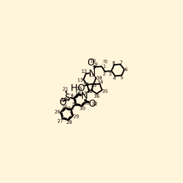 C[C@H](CC1CCCCC1)C(=O)N1CCC(O)(Cn2cc([S+](C)[O-])c(-c3ccccc3)cc2=O)C2(CCCC2)C1